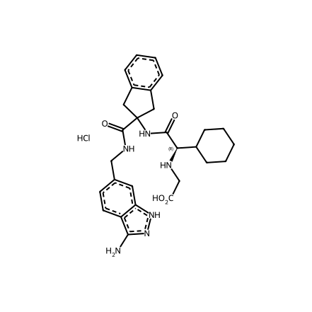 Cl.Nc1n[nH]c2cc(CNC(=O)C3(NC(=O)[C@H](NCC(=O)O)C4CCCCC4)Cc4ccccc4C3)ccc12